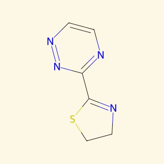 c1cnc(C2=NCCS2)nn1